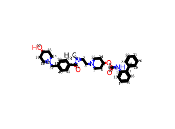 CN(CCN1CCC(OC(=O)Nc2ccccc2-c2ccccc2)CC1)C(=O)c1ccc(CN2CCC(O)CC2)cc1